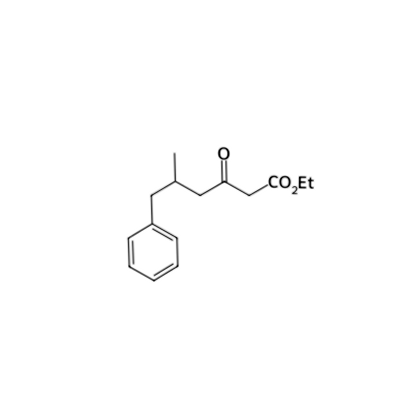 CCOC(=O)CC(=O)CC(C)Cc1ccccc1